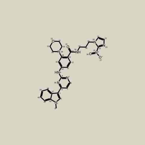 Cn1cc(-c2ccnc(Nc3ccc(C(=O)NCCCn4ccnc4[N+](=O)[O-])c(N4CCOCC4)c3)n2)c2ccccc21